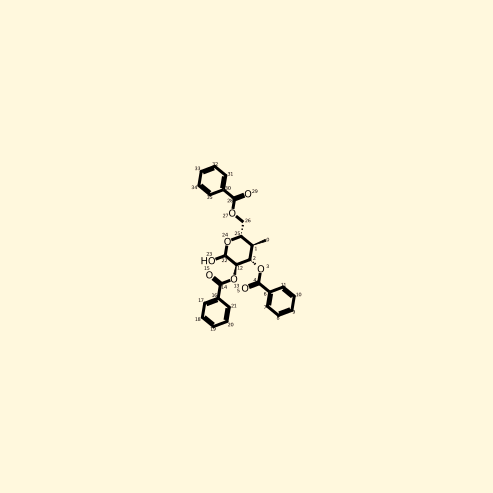 C[C@H]1[C@H](OC(=O)c2ccccc2)[C@@H](OC(=O)c2ccccc2)C(O)O[C@@H]1COC(=O)c1ccccc1